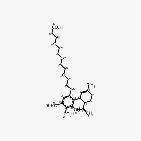 C=C(C)C1CCC(C)=CC1c1c(OCCOCCOCCOCCC(=O)O)cc(CCCCC)c(C(=O)O)c1O